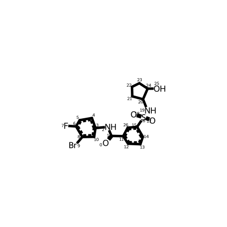 O=C(Nc1ccc(F)c(Br)c1)c1cccc(S(=O)(=O)NC2CCCC2O)c1